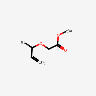 C=CC(CC)OCC(=O)OC(C)(C)C